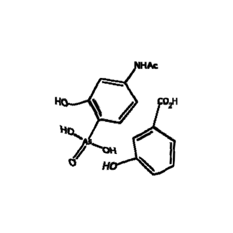 CC(=O)Nc1ccc([As](=O)(O)O)c(O)c1.O=C(O)c1cccc(O)c1